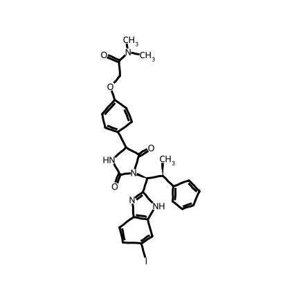 C[C@@H](c1ccccc1)[C@@H](c1nc2ccc(I)cc2[nH]1)N1C(=O)NC(c2ccc(OCC(=O)N(C)C)cc2)C1=O